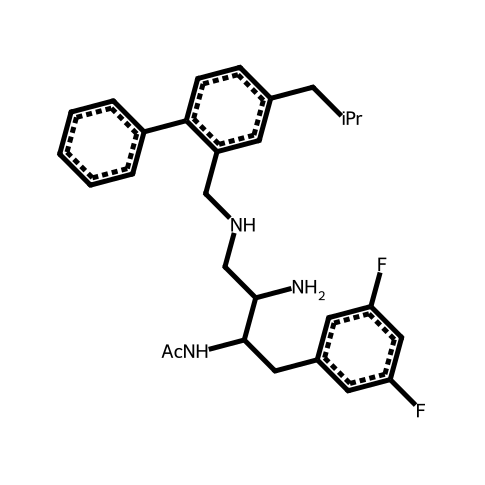 CC(=O)NC(Cc1cc(F)cc(F)c1)C(N)CNCc1cc(CC(C)C)ccc1-c1ccccc1